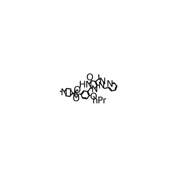 CCCOc1ccc(S(=O)(=O)N2CCN(C)CC2)cc1-c1nc2c(c(C)nn2Cc2ccccn2)c(=O)[nH]1